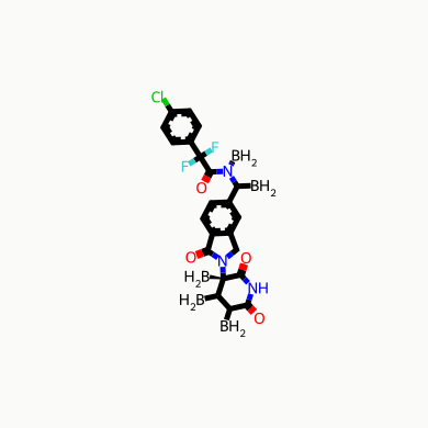 BC1C(=O)NC(=O)[C@@](B)(N2Cc3cc(C(B)N(B)C(=O)C(F)(F)c4ccc(Cl)cc4)ccc3C2=O)C1B